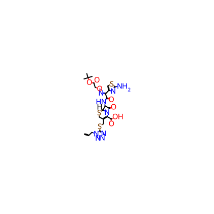 C=CCn1nnnc1SCC1=C(C(=O)O)N2C(=O)C(NC(=O)C(=NOCC(=O)OC(C)(C)C)c3csc(N)n3)[C@@H]2SC1